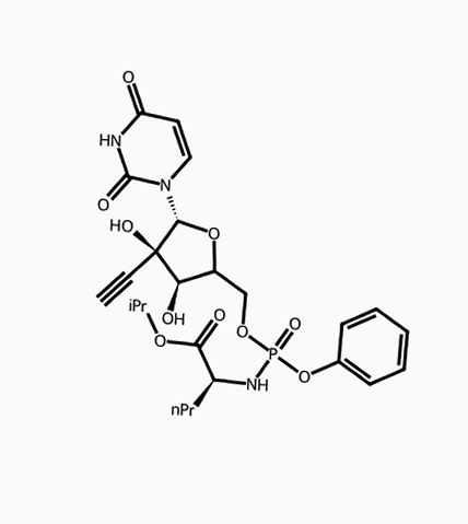 C#C[C@@]1(O)[C@H](O)C(COP(=O)(N[C@@H](CCC)C(=O)OC(C)C)Oc2ccccc2)O[C@H]1n1ccc(=O)[nH]c1=O